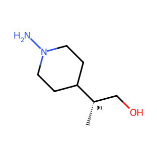 C[C@@H](CO)C1CCN(N)CC1